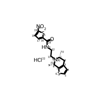 C[C@@H]1Cc2ccsc2[C@H](C)N1CCNC(=O)c1ccc([N+](=O)[O-])s1.Cl